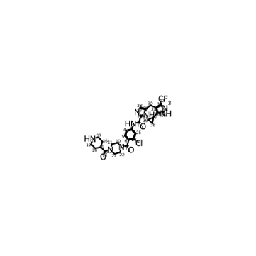 O=C(Nc1ccc(C(=O)N2CCN(C(=O)C3CCNCC3)CC2)c(Cl)c1)c1ncc(Cc2c(C(F)(F)F)n[nH]c2C2CC2)[nH]1